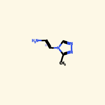 Cc1nncn1/C=C/N